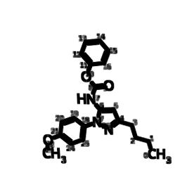 CCCCc1cc(NC(=O)Oc2ccccc2)n(-c2ccc(OC)cc2)n1